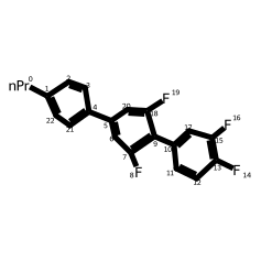 CCCc1ccc(-c2cc(F)c(-c3ccc(F)c(F)c3)c(F)c2)cc1